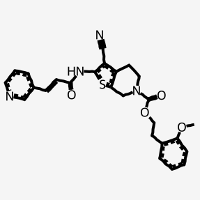 COc1ccccc1CCOC(=O)N1CCc2c(sc(NC(=O)C=Cc3cccnc3)c2C#N)C1